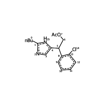 CCCCc1ncc(C(COC(C)=O)c2ccccc2Cl)[nH]1